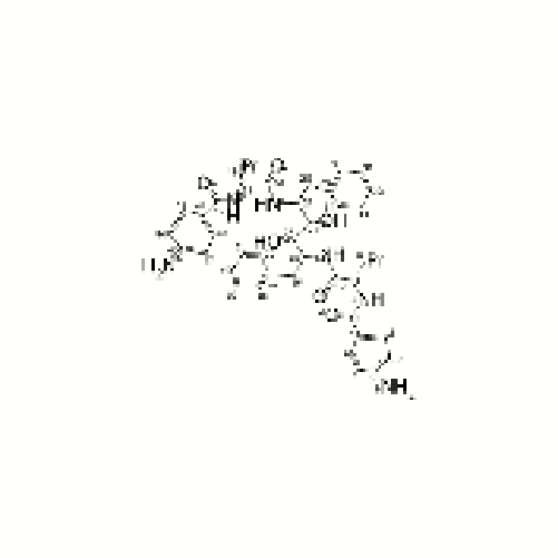 CC(C)[C@H](NC(=O)c1ccc(N)cc1)C(=O)NC(Cc1ccccc1)C(O)C(O)C(Cc1ccccc1)NC(=O)[C@@H](NC(=O)c1ccc(N)cc1)C(C)C